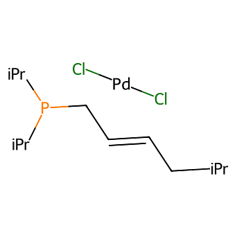 CC(C)CC=CCP(C(C)C)C(C)C.[Cl][Pd][Cl]